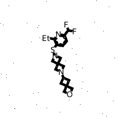 CCc1nc(C(F)F)ccc1SN1CC2(C1)CN(C1CC3(COC3)C1)C2